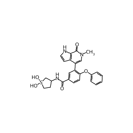 Cn1cc(-c2cc(C(=O)NC3CCS(O)(O)C3)ccc2Oc2ccccc2)c2cc[nH]c2c1=O